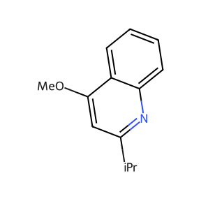 COc1cc(C(C)C)nc2ccccc12